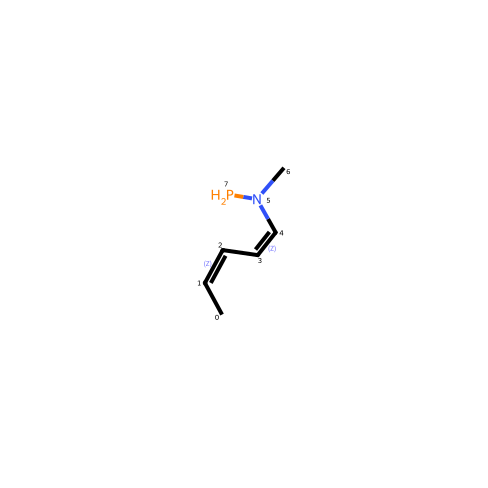 C/C=C\C=C/N(C)P